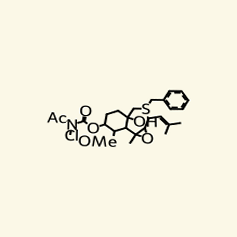 COC1C(OC(=O)N(Cl)C(C)=O)CCC(O)(CSCc2ccccc2)C1C1(C)OC1CC=C(C)C